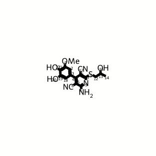 COc1cc(-c2c(C#N)c(N)nc(SCC(C)O)c2C#N)cc(O)c1O